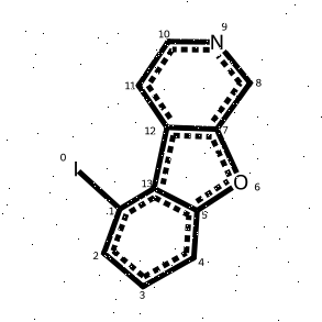 Ic1cccc2oc3cnccc3c12